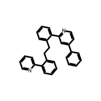 c1ccc(-c2ccnc(-c3ccccc3CCc3ccccc3-c3ccccn3)c2)cc1